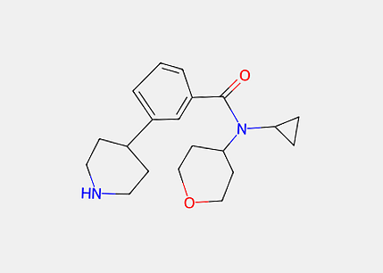 O=C(c1cccc(C2CCNCC2)c1)N(C1CCOCC1)C1CC1